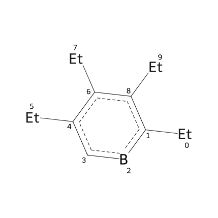 CCc1bcc(CC)c(CC)c1CC